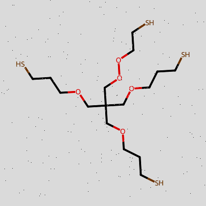 SCCCOCC(COCCCS)(COCCCS)COOCCS